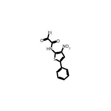 CCC(=O)C(=O)Nc1sc(-c2ccccc2)cc1[N+](=O)[O-]